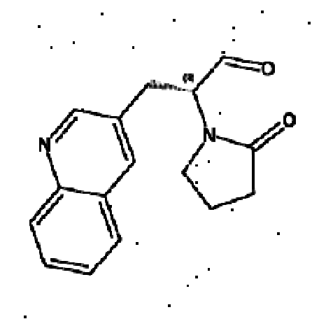 O=[C][C@@H](Cc1cnc2ccccc2c1)N1CCCC1=O